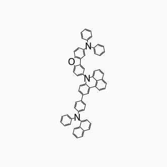 c1ccc(N(c2ccccc2)c2ccc3oc4ccc(N5c6ccc(-c7ccc(N(c8ccccc8)c8cccc9ccccc89)cc7)cc6-c6cccc7cccc5c67)cc4c3c2)cc1